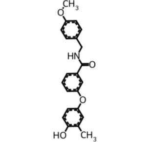 COc1ccc(CNC(=O)c2cccc(Oc3ccc(O)c(C)c3)c2)cc1